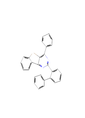 c1ccc(-c2ccccc2-c2nc(-c3ccccc3)c3sc4ccccc4c3n2)cc1